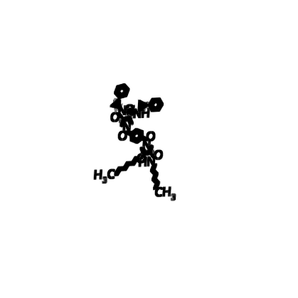 CCCCCCCNC(=O)[C@@H]1CN(C(=O)c2ccc(C(=O)N3C[C@@H](C(=O)N[C@H]4C[C@@H]4c4ccccc4)[C@H](C(=O)N[C@H]4C[C@@H]4c4ccccc4)C3)cc2)C[C@@H]1OCCCCCCC